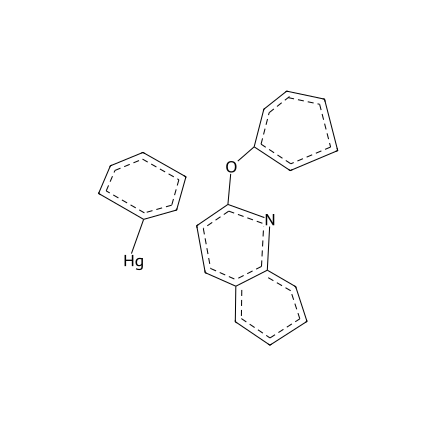 [Hg][c]1ccccc1.c1ccc(Oc2ccc3ccccc3n2)cc1